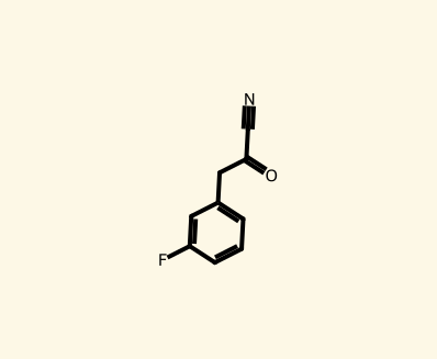 N#CC(=O)Cc1cccc(F)c1